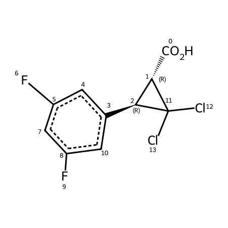 O=C(O)[C@H]1[C@H](c2cc(F)cc(F)c2)C1(Cl)Cl